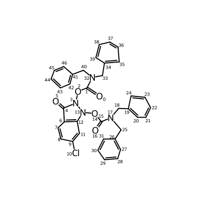 O=C(On1c(=O)c2ccc(Cl)cc2n1OC(=O)N(Cc1ccccc1)Cc1ccccc1)N(Cc1ccccc1)Cc1ccccc1